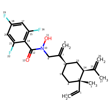 C=C[C@]1(C)CC[C@@H](C(=C)CN(O)C(=O)c2c(F)cc(F)cc2F)C[C@H]1C(=C)C